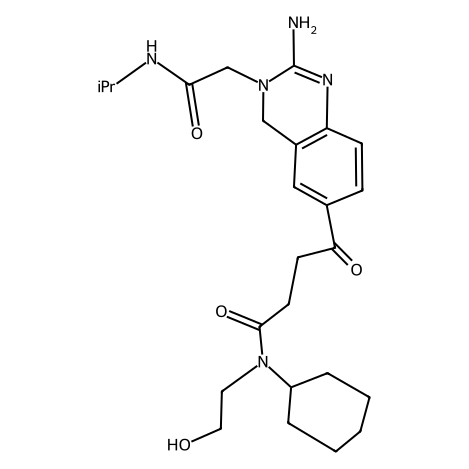 CC(C)NC(=O)CN1Cc2cc(C(=O)CCC(=O)N(CCO)C3CCCCC3)ccc2N=C1N